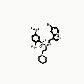 Cc1ccc([N+](=O)[O-])cc1S(=O)(=O)N(CCN1CCCCC1)N=Cc1cnn2ccc(Br)cc12